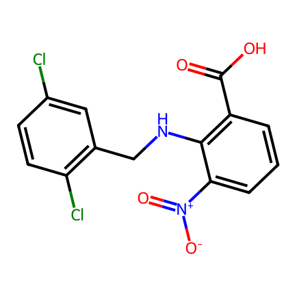 O=C(O)c1cccc([N+](=O)[O-])c1NCc1cc(Cl)ccc1Cl